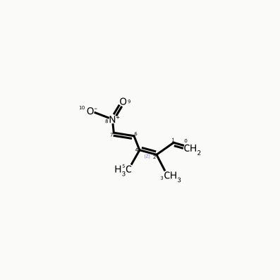 C=C/C(C)=C(/C)C=C[N+](=O)[O-]